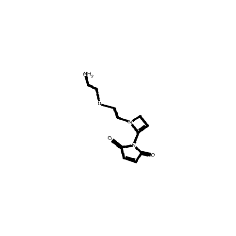 NCCOCCN1CC=C1N1C(=O)C=CC1=O